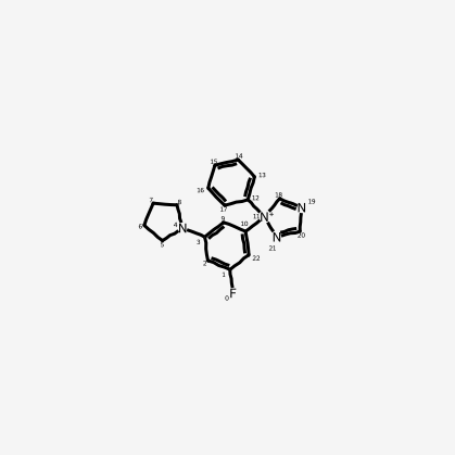 Fc1cc(N2CCCC2)cc([N+]2(c3ccccc3)C=NC=N2)c1